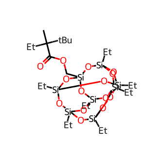 CCC(C)(C(=O)OC[Si]12O[Si]3(CC)O[Si]4(CC)O[Si]5(CC)O[Si](CC)(O3)O[Si](CC)(O[Si](CC)(O5)O[Si](CC)(O4)O1)O2)C(C)(C)C